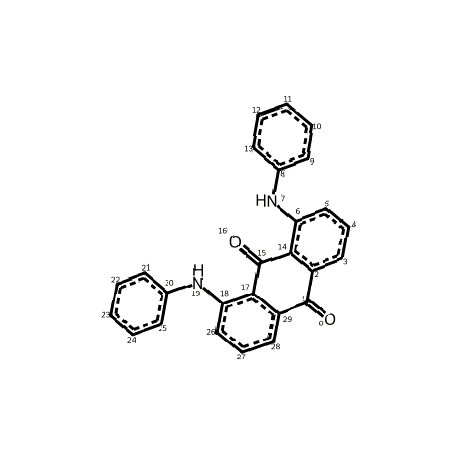 O=C1c2cccc(Nc3ccccc3)c2C(=O)c2c(Nc3ccccc3)cccc21